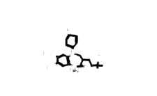 CC(F)(F)CCC1CN(c2ccc(F)cc2)c2cc(C(F)(F)F)c(O)cc2S(=O)(=O)C1(F)F